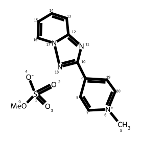 COS(=O)(=O)[O-].C[n+]1ccc(-c2nc3ccccn3n2)cc1